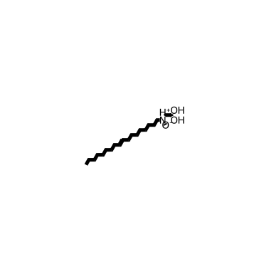 CCCCCCCCC=CCCCCCCCC[NH+]([O-])CC(O)O